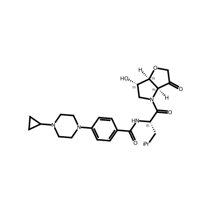 CC(C)C[C@H](NC(=O)c1ccc(N2CCN(C3CC3)CC2)cc1)C(=O)N1C[C@H](O)[C@H]2OCC(=O)[C@H]21